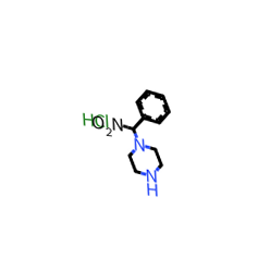 Cl.O=[N+]([O-])C(c1ccccc1)N1CCNCC1